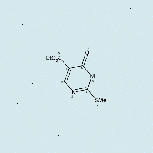 [CH2]Sc1ncc(C(=O)OCC)c(=O)[nH]1